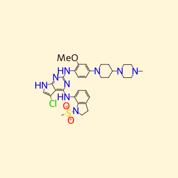 COc1cc(N2CCC(N3CCN(C)CC3)CC2)ccc1Nc1nc(Nc2cccc3c2N(S(C)(=O)=O)CC3)c2c(Cl)c[nH]c2n1